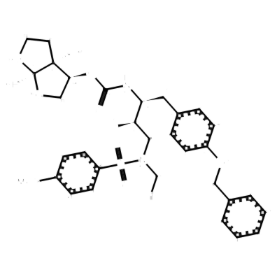 COc1ccc(S(=O)(=O)N(CC(C)C)C[C@@H](O)[C@H](Cc2ccc(OCc3ccccc3)cc2)NC(=O)O[C@H]2CO[C@H]3OCC[C@H]32)cc1